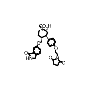 O=C1NCc2ccc(OC[C@H]3CCN(C(=O)O)CC[C@H]3c3ccc(OCCN4C(=O)CCC4=O)cc3)cc21